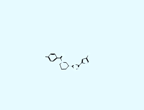 O=C(c1ccc(F)cc1)N1CCC[C@H](c2nc(-c3cc(F)c[nH]3)no2)C1